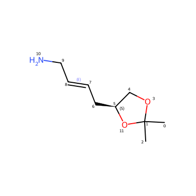 CC1(C)OC[C@H](C/C=C/CN)O1